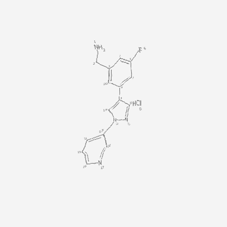 Cl.NCc1cc(F)cc(-c2cnn(-c3cccnc3)c2)c1